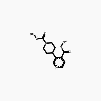 CCCOC(=O)c1ccncc1C1CCN(C(=O)OC(C)(C)C)CC1